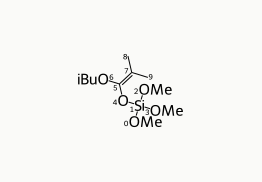 CO[Si](OC)(OC)OC(OCC(C)C)=C(C)C